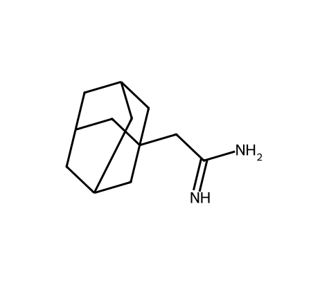 N=C(N)CC12CC3CC(CC(C3)C1)C2